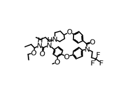 CCCCN1CCC(Oc2ccc(C(=O)N(CCC(F)(F)F)c3ccc(Oc4ccc(NC(=O)NC(CC)OCC)cc4OC)cc3)cc2)CC1